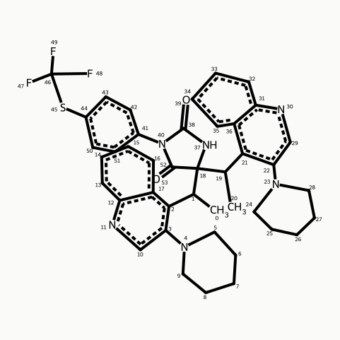 CC(c1c(N2CCCCC2)cnc2ccccc12)C1(C(C)c2c(N3CCCCC3)cnc3ccccc23)NC(=O)N(c2ccc(SC(F)(F)F)cc2)C1=O